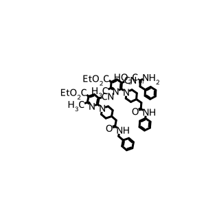 CCOC(=O)c1cc(C#N)c(N2CCC(CC(=O)NCc3ccccc3)CC2)nc1C.CCOC(=O)c1cc(C#N)c(N2CCC(CC(=O)Nc3ccccc3)CC2)nc1C.N[C@@H](Cc1ccccc1)C(=O)O